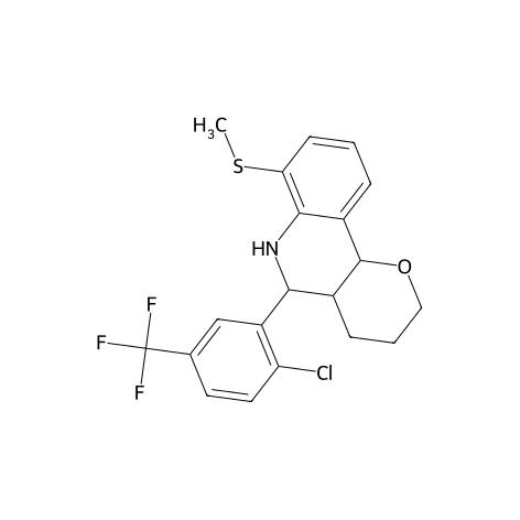 CSc1cccc2c1NC(c1cc(C(F)(F)F)ccc1Cl)C1CCCOC21